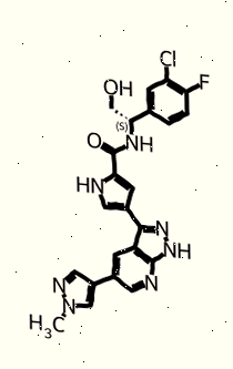 Cn1cc(-c2cnc3[nH]nc(-c4c[nH]c(C(=O)N[C@H](CO)c5ccc(F)c(Cl)c5)c4)c3c2)cn1